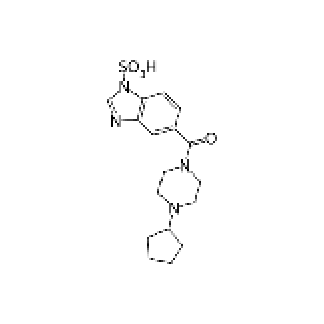 O=C(c1ccc2c(c1)ncn2S(=O)(=O)O)N1CCN(C2CCCC2)CC1